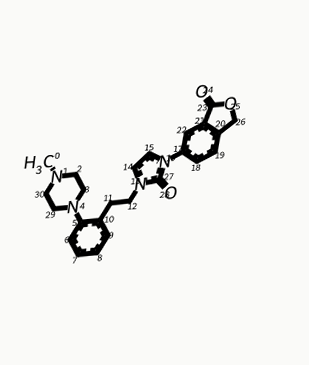 CN1CCN(c2ccccc2CCn2ccn(-c3ccc4c(c3)C(=O)OC4)c2=O)CC1